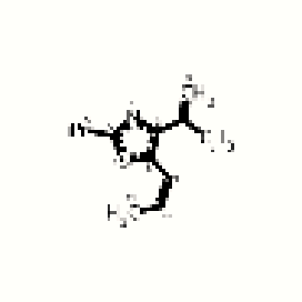 C=C(C)c1nc(C(C)C)sc1/C=C\C